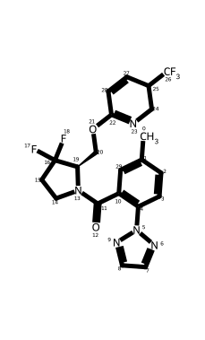 Cc1ccc(-n2nccn2)c(C(=O)N2CCC(F)(F)[C@H]2COC2=NCC(C(F)(F)F)C=C2)c1